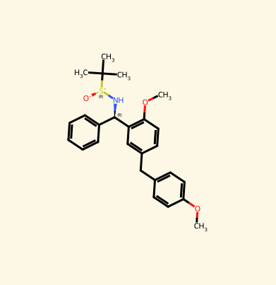 COc1ccc(Cc2ccc(OC)c([C@H](N[S@@+]([O-])C(C)(C)C)c3ccccc3)c2)cc1